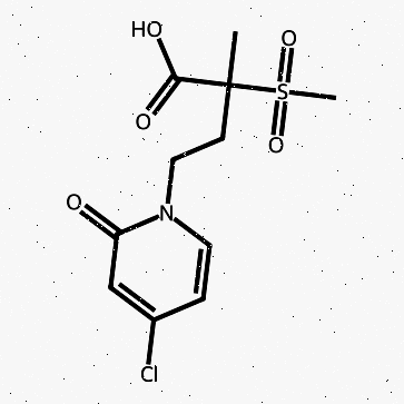 CC(CCn1ccc(Cl)cc1=O)(C(=O)O)S(C)(=O)=O